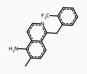 Cc1ccc2c(Cc3ccccc3C(F)(F)F)nccc2c1N